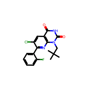 CC(C)(C)Cn1c(=O)[nH]c(=O)c2cc(Cl)c(-c3ccccc3F)nc21